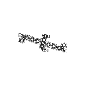 CCn1c2ccccc2c2cc(-c3ccc(-c4ccc(-c5c6ccc(C(C)(C)C)cc6c(-c6ccc(-c7ccc(-c8ccc9c(c8)c8ccccc8n9CC)cc7)cc6)c6ccc(C(C)(C)C)cc56)cc4)cc3)ccc21